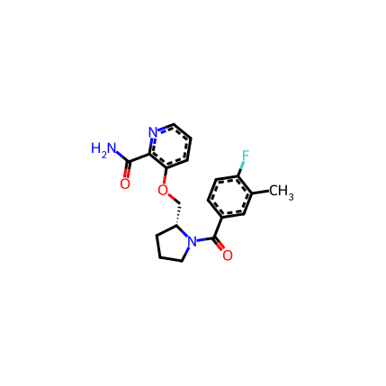 Cc1cc(C(=O)N2CCC[C@@H]2COc2cccnc2C(N)=O)ccc1F